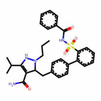 CCCN1NC(C(C)C)=C(C(N)=O)C1Cc1ccc(-c2ccccc2S(=O)(=O)NC(=O)c2ccccc2)cc1